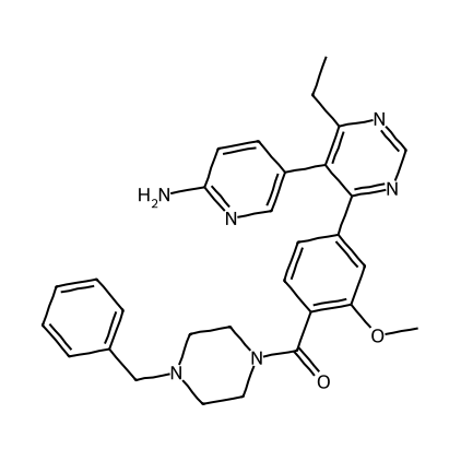 CCc1ncnc(-c2ccc(C(=O)N3CCN(Cc4ccccc4)CC3)c(OC)c2)c1-c1ccc(N)nc1